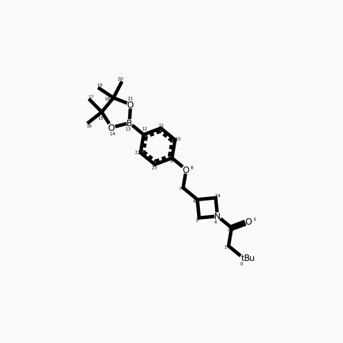 CC(C)(C)CC(=O)N1CC(COc2ccc(B3OC(C)(C)C(C)(C)O3)cc2)C1